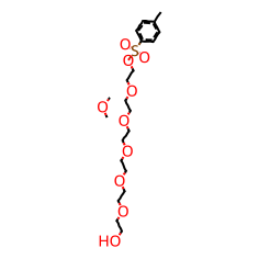 COC.Cc1ccc(S(=O)(=O)OCCOCCOCCOCCOCCOCCO)cc1